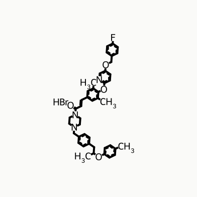 Br.Cc1ccc(OC(C)Cc2ccc(CN3CCN(C(=O)C=Cc4cc(C)c(Oc5ccc(OCc6ccc(F)cc6)cn5)c(C)c4)CC3)cc2)cc1